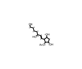 CC(=O)OC1C(O)CC(O)C1C=CC(O)CCCCC#N